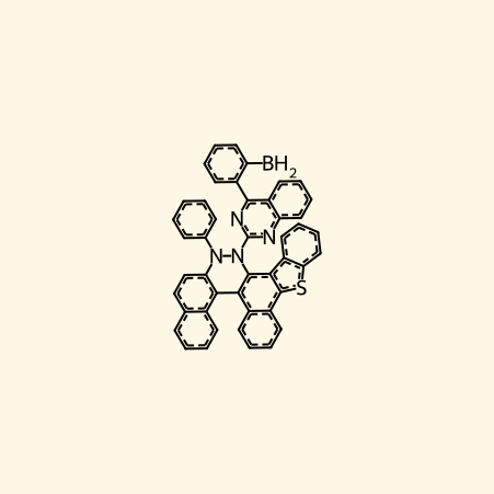 Bc1ccccc1-c1nc(N2c3c(c4ccccc4c4sc5ccccc5c34)-c3c(ccc4ccccc34)N2c2ccccc2)nc2ccccc12